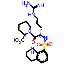 N=C(N)NCCC[C@H](NS(=O)(=O)c1cccc2c1NCCC2)C(=O)N1CCCC[C@@H]1C(=O)O